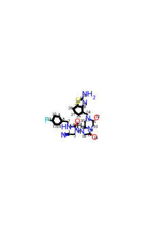 N#CCN(C(=O)NCc1ccc(F)cc1)N1CC(=O)N2CC(=O)N(Cc3cccc4sc(N)nc34)C[C@@H]21